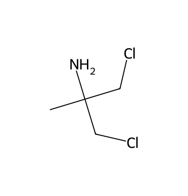 CC(N)(CCl)CCl